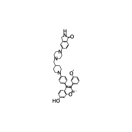 COc1cccc([C@@H]2[C@H](c3ccc(N4CCC(CN5CCN(c6ccc7c(c6)CNC7=O)CC5)CC4)cc3)c3ccc(O)cc3O[C@H]2C)c1